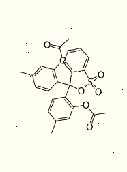 CC(=O)Oc1cc(C)ccc1C1(c2ccc(C)cc2OC(C)=O)OS(=O)(=O)c2ccccc21